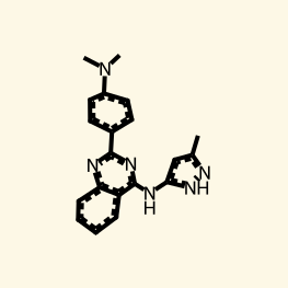 Cc1cc(Nc2nc(-c3ccc(N(C)C)cc3)nc3ccccc23)[nH]n1